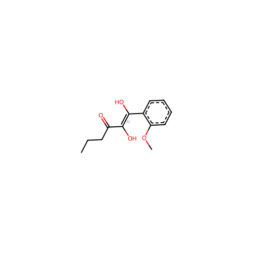 CCCC(=O)/C(O)=C(\O)c1ccccc1OC